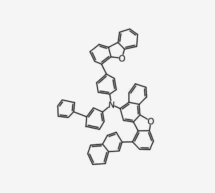 c1ccc(-c2cccc(N(c3ccc(-c4cccc5c4oc4ccccc45)cc3)c3cc4c(oc5cccc(-c6ccc7ccccc7c6)c54)c4ccccc34)c2)cc1